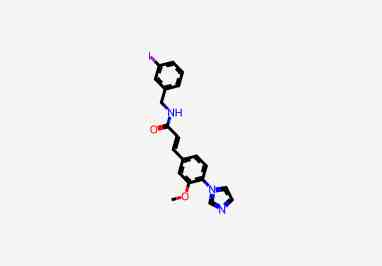 COc1cc(C=CC(=O)NCc2cccc(I)c2)ccc1-n1ccnc1